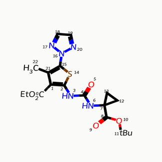 CCOC(=O)c1c(NC(=O)NC2(C(=O)OC(C)(C)C)CC2)sc(-n2nccn2)c1C